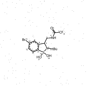 CC(C)(C)N1C(CNC(=O)C(F)(F)F)c2cc(Br)ccc2S1(O)O